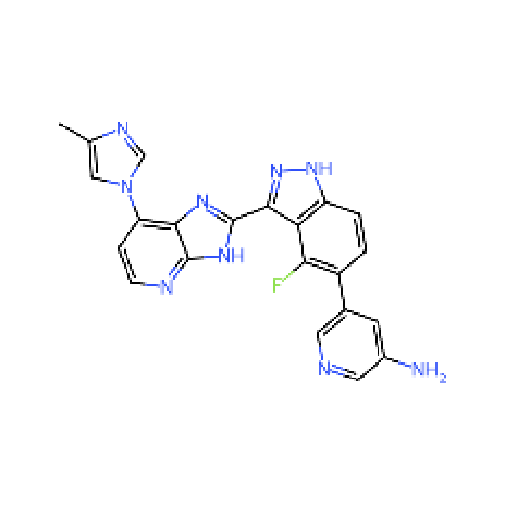 Cc1cn(-c2ccnc3[nH]c(-c4n[nH]c5ccc(-c6cncc(N)c6)c(F)c45)nc23)cn1